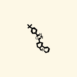 CC(C)(C)c1ccc(-c2nnc(C3=CCC4CN5CC=CC=C5C4=C3)o2)cc1